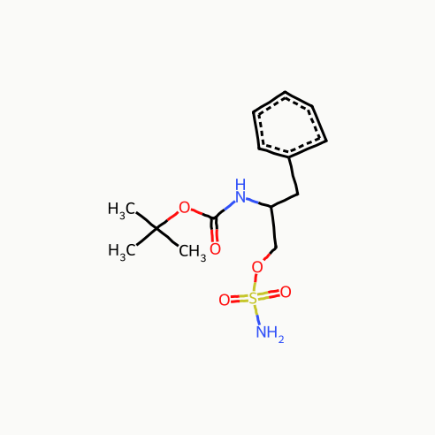 CC(C)(C)OC(=O)NC(COS(N)(=O)=O)Cc1ccccc1